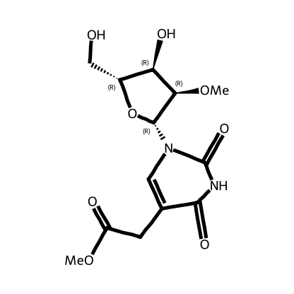 COC(=O)Cc1cn([C@@H]2O[C@H](CO)[C@@H](O)[C@H]2OC)c(=O)[nH]c1=O